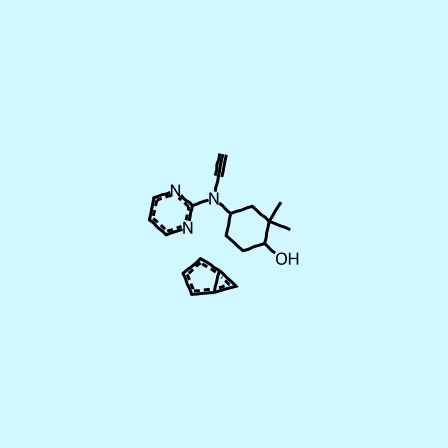 C#CN(c1ncccn1)C1CCC(O)C(C)(C)C1.c1cc2cc-2c1